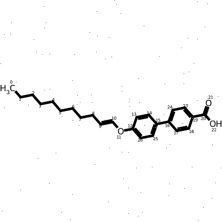 CCCCCCCCCC=COc1ccc(-c2ccc(C(=O)O)cc2)cc1